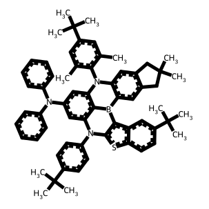 Cc1cc(C(C)(C)C)cc(C)c1N1c2cc3c(cc2B2c4c(cc(N(c5ccccc5)c5ccccc5)cc41)N(c1ccc(C(C)(C)C)cc1)c1sc4ccc(C(C)(C)C)cc4c12)CC(C)(C)C3